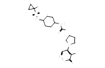 CC1(S(=O)(=O)NC2CCC(NC(=O)O[C@@H]3CCN(c4cn[nH]c(=O)c4Cl)C3)CC2)CC1